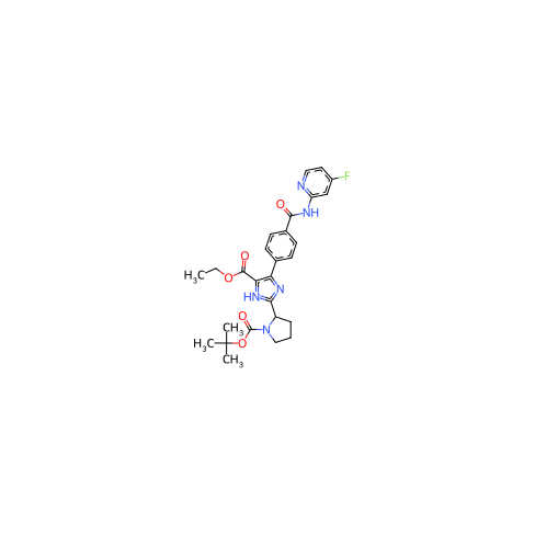 CCOC(=O)c1[nH]c(C2CCCN2C(=O)OC(C)(C)C)nc1-c1ccc(C(=O)Nc2cc(F)ccn2)cc1